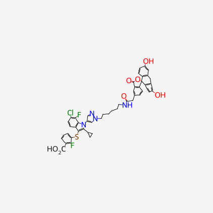 O=C(Cc1ccc2c(c1)C(=O)OC21c2ccc(O)cc2Cc2cc(O)ccc21)NCCCCCCn1cc(-n2c(C3CC3)c(Sc3cccc(C(=O)O)c3F)c3ccc(Cl)c(F)c32)cn1